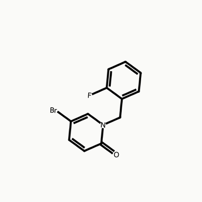 O=c1ccc(Br)cn1Cc1ccccc1F